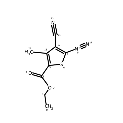 CCOC(=O)c1sc([N+]#N)c(C#N)c1C